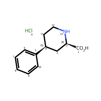 Cl.O=C(O)[C@H]1C[C@@H](c2ccccc2)CCN1